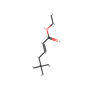 CCOC(=O)C=CCC(C)(C)C